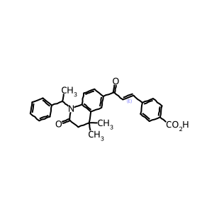 CC(c1ccccc1)N1C(=O)CC(C)(C)c2cc(C(=O)/C=C/c3ccc(C(=O)O)cc3)ccc21